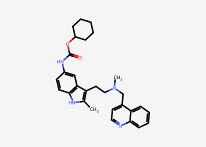 Cc1[nH]c2ccc(NC(=O)OC3CCCCC3)cc2c1CCN(C)Cc1ccnc2ccccc12